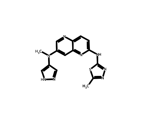 Cc1nnc(Nc2ccc3ncc(N(C)c4cn[nH]c4)cc3n2)s1